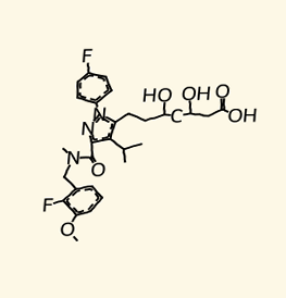 COc1cccc(CN(C)C(=O)c2nn(-c3ccc(F)cc3)c(CCC(O)CC(O)CC(=O)O)c2C(C)C)c1F